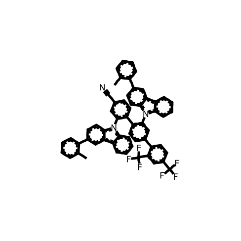 Cc1ccccc1-c1ccc2c(c1)c1ccccc1n2-c1cc(C#N)ccc1-c1ccc(-c2ccc(C(F)(F)F)cc2C(F)(F)F)cc1-n1c2ccccc2c2cc(-c3ccccc3C)ccc21